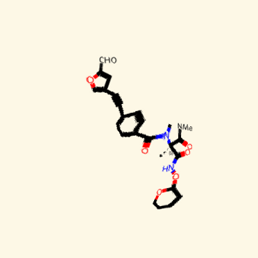 CNC(=O)[C@@](C)(C(=O)NOC1CCCCO1)N(C)C(=O)c1ccc(C#Cc2coc(C=O)c2)cc1